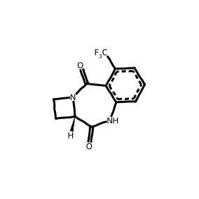 O=C1Nc2cccc(C(F)(F)F)c2C(=O)N2CC[C@@H]12